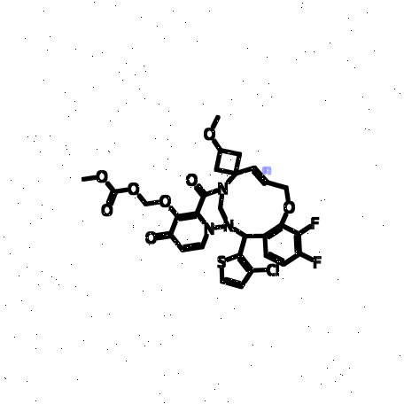 COC(=O)OCOc1c2n(ccc1=O)N1CN(C2=O)C2(/C=C/COc3c(ccc(F)c3F)C1c1sccc1Cl)CC(OC)C2